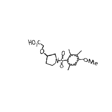 COc1cc(C)c(S(=O)(=O)N2CCC(OCC(=O)O)C2)c(C)c1C